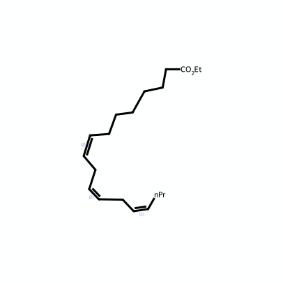 CCC/C=C\C/C=C\C/C=C\CCCCCCC(=O)OCC